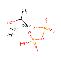 CC(O)C(=O)[O-].O=P([O-])([O-])OP(=O)([O-])O.[Zn+2].[Zn+2]